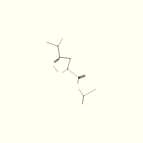 CC(C)OC(=O)C1CC(C(C)C)=NO1